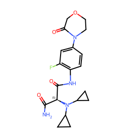 NC(=O)[C@@H](C(=O)Nc1ccc(N2CCOCC2=O)cc1F)N(C1CC1)C1CC1